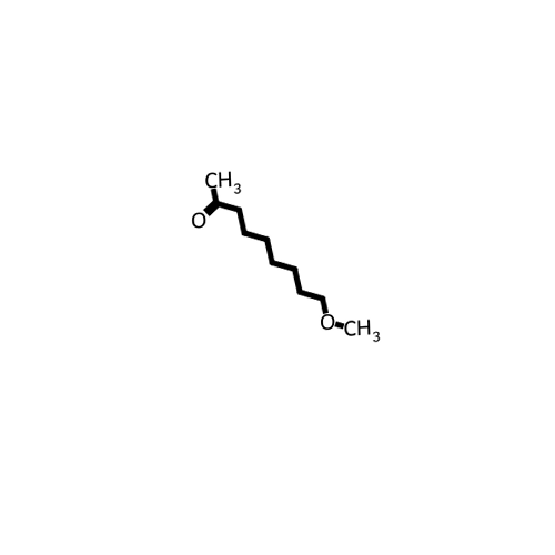 COCCCCCCCC(C)=O